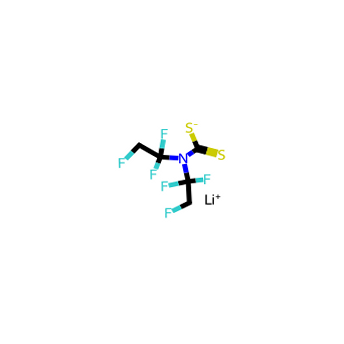 FCC(F)(F)N(C(=S)[S-])C(F)(F)CF.[Li+]